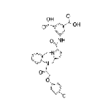 O=C(O)c1cc(NC(=O)c2ccc3n2Cc2ccccc2N(C(=O)COc2ccc(Cl)cc2)C3)cc(C(=O)O)c1